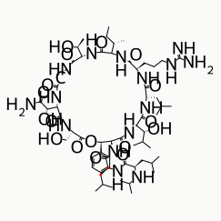 CC[C@H](C)C1NC(=O)[C@@H](CCCNC(=N)N)NC(=O)[C@H](CC(C)C)NC(=O)[C@H]([C@H](O)C(C)C)NC(=O)[C@@H](NC(=O)[C@H](CC(C)C)NC(=O)[C@@H](CC(C)C)NC(C)C)[C@@H](c2ccccc2)OC(=O)[C@H](CO)NC(=O)[C@H]([C@H](O)C(N)=O)NC(=O)CNC(=O)[C@H]([C@H](C)O)NC1=O